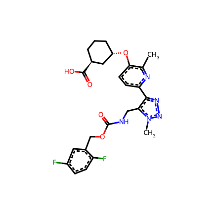 Cc1nc(-c2nnn(C)c2CNC(=O)OCc2cc(F)ccc2F)ccc1O[C@H]1CCC[C@H](C(=O)O)C1